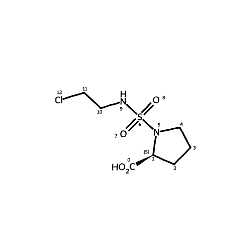 O=C(O)[C@@H]1CCCN1S(=O)(=O)NCCCl